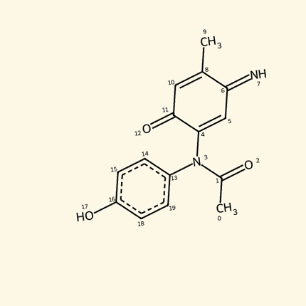 CC(=O)N(C1=CC(=N)C(C)=CC1=O)c1ccc(O)cc1